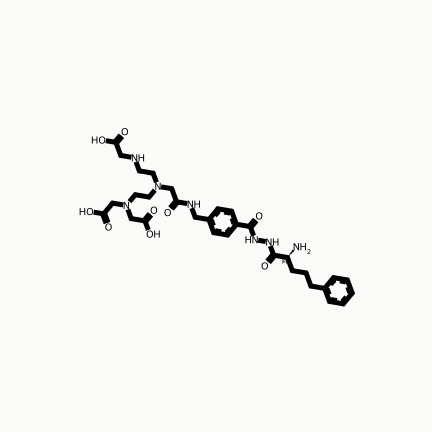 N[C@H](CCCc1ccccc1)C(=O)NNC(=O)c1ccc(CNC(=O)CN(CCNCC(=O)O)CCN(CC(=O)O)CC(=O)O)cc1